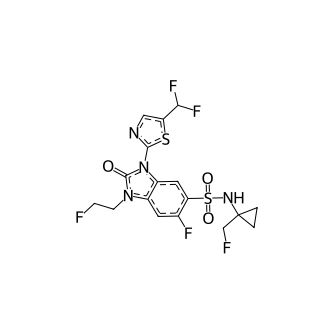 O=c1n(CCF)c2cc(F)c(S(=O)(=O)NC3(CF)CC3)cc2n1-c1ncc(C(F)F)s1